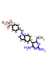 CCc1nc(N)nc(N)c1-c1ccc2c(ccn2Cc2ccc(S(C)(=O)=O)cc2)c1